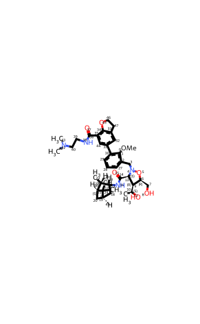 COc1c(CN2O[C@@H](CO)[C@@H]([C@H](C)O)[C@H]2C(=O)N[C@@H]2C[C@H]3C[C@@H]([C@@H]2C)C3(C)C)cccc1-c1cc2c(c(C(=O)NCCN(C)C)c1)OCC2